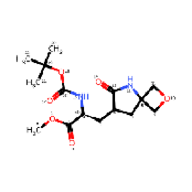 COC(=O)[C@H](CC1CC2(COC2)NC1=O)NC(=O)OC(C)(C)C